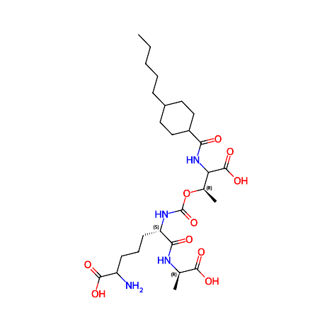 CCCCCC1CCC(C(=O)NC(C(=O)O)[C@@H](C)OC(=O)N[C@@H](CCCC(N)C(=O)O)C(=O)N[C@H](C)C(=O)O)CC1